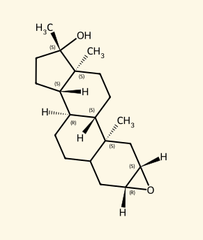 C[C@]12C[C@@H]3O[C@@H]3CC1CC[C@@H]1[C@@H]2CC[C@@]2(C)[C@H]1CC[C@]2(C)O